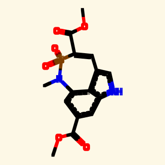 COC(=O)C1=Cc2c[nH]c3cc(C(=O)OC)cc(c23)N(C)S1(=O)=O